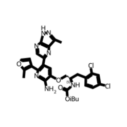 Cc1occc1-c1nc(N)c(OC[C@H](Cc2ccc(Cl)cc2Cl)NC(=O)OCC(C)C)cc1-c1cnc2[nH]nc(C)c2n1